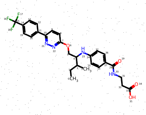 CCC(C)C(COc1ccc(-c2ccc(C(F)(F)F)cc2)nn1)Nc1ccc(C(=O)NCCC(=O)O)cc1